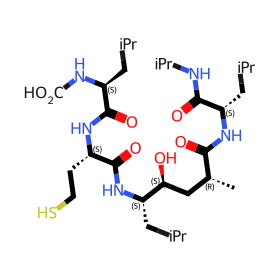 CC(C)C[C@H](NC(=O)O)C(=O)N[C@@H](CCS)C(=O)N[C@@H](CC(C)C)[C@@H](O)C[C@@H](C)C(=O)N[C@@H](CC(C)C)C(=O)NC(C)C